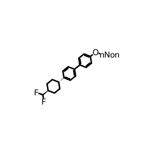 CCCCCCCCCOc1ccc(-c2ccc([C@H]3CC[C@H](C(F)F)CC3)cc2)cc1